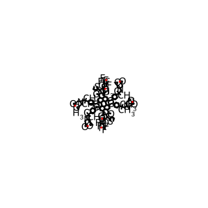 CC(C)(CN(CC1CO1)CC1CO1)c1ccc(Oc2cc3c4c(cc(Oc5ccc(C(C)(C)CN(CC6CO6)CC6CO6)cc5)c5c6c(Oc7ccc(C(C)(C)CN(CC8CO8)CC8CO8)cc7)cc7c8c(cc(Oc9ccc(C(C)(C)CN(CC%10CO%10)CC%10CO%10)cc9)c(c2c45)c86)C(=O)N(C(C(=O)OC(C(F)(F)F)C(F)(F)F)c2cccs2)C7=O)C(=O)N(C(C(=O)OC(C(F)(F)F)C(F)(F)F)c2cccs2)C3=O)cc1